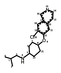 CC(C)CNC1CCC(Oc2cc3ccncc3cc2Cl)CC1